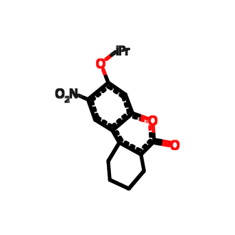 CC(C)Oc1cc2oc(=O)c3c(c2cc1[N+](=O)[O-])CCCC3